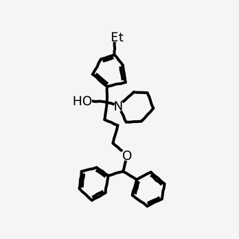 CCc1ccc(C(O)(CCCOC(c2ccccc2)c2ccccc2)N2CCCCC2)cc1